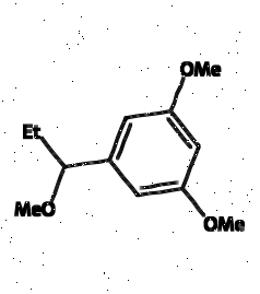 CCC(OC)c1cc(OC)cc(OC)c1